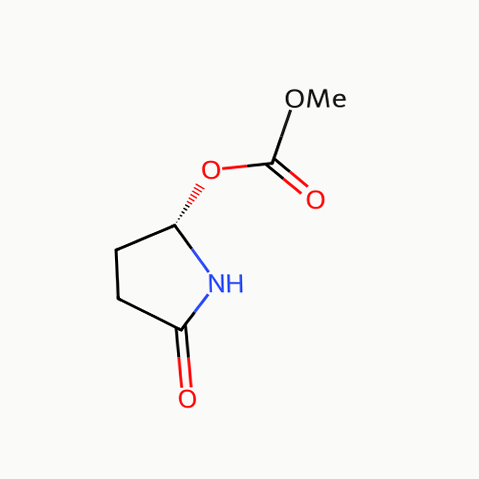 COC(=O)O[C@H]1CCC(=O)N1